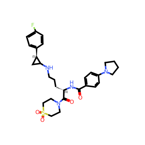 O=C(N[C@@H](CCCNC1C[C@H]1c1ccc(F)cc1)C(=O)N1CCS(=O)(=O)CC1)c1ccc(N2CCCC2)cc1